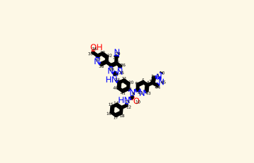 Cn1cc(-c2ccc(N(C(=O)NCc3ccccc3)c3ccc(Nc4ncc(C#N)c(-c5ccc(CO)nc5)n4)cc3)nc2)cn1